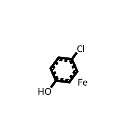 Oc1ccc(Cl)cc1.[Fe]